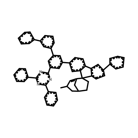 CC1C=C2CC(CCC23c2ccc(-c4ccccc4)cc2-c2ccc(-c4cc(-c5cccc(-c6ccccc6)c5)cc(-c5nc(-c6ccccc6)nc(-c6ccccc6)n5)c4)cc23)C1